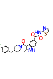 Cc1[nH]c2ccc(C(=O)C(=O)Nc3nccs3)cc2c1C(=O)N1CCC(Cc2ccc(F)cc2)CC1